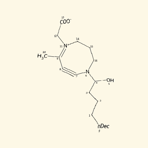 CCCCCCCCCCCCCC(O)N1C#CC(C)=[N+](CC(=O)[O-])CCC1